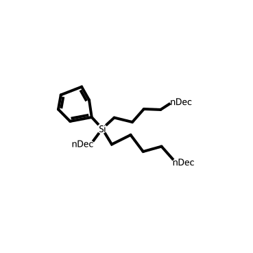 CCCCCCCCCCCCCC[Si](CCCCCCCCCC)(CCCCCCCCCCCCCC)c1ccccc1